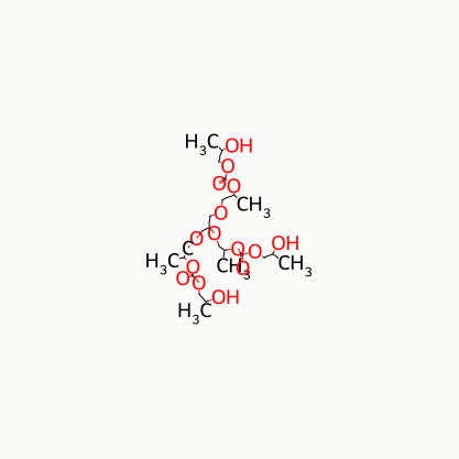 CC(O)COC(=O)OC(C)COCC(COCC(C)OC(=O)OCC(C)O)OCC(C)OC(=O)OCC(C)O